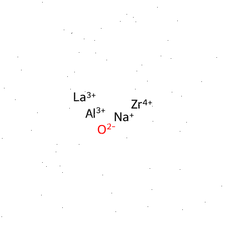 [Al+3].[La+3].[Na+].[O-2].[Zr+4]